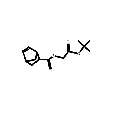 CC(C)(C)OC(=O)CSC(=O)C1CC2C=CC1C2